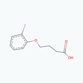 O=C(O)CCCOc1ccccc1I